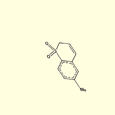 CC(C)(C)c1ccc2c(c1)C=CCS2(=O)=O